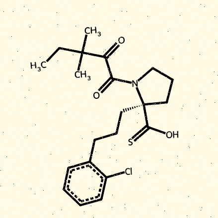 CCC(C)(C)C(=O)C(=O)N1CCC[C@@]1(CCCc1ccccc1Cl)C(O)=S